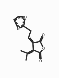 CC(C)=C1C(=O)OC(=O)C1=CCc1ncco1